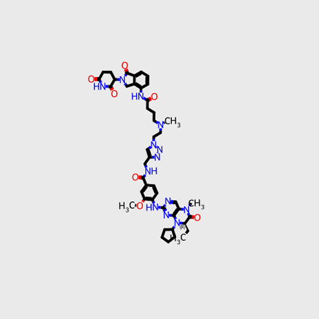 CC[C@@H]1C(=O)N(C)c2cnc(Nc3ccc(C(=O)NCc4cn(CCN(C)CCCC(=O)Nc5cccc6c5CN(C5CCC(=O)NC5=O)C6=O)nn4)cc3OC)nc2N1C1CCCC1